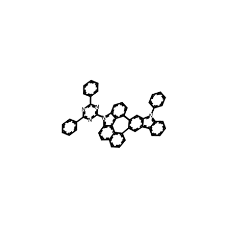 c1ccc(-c2nc(-c3ccccc3)nc(-n3c4cccc5c4c4c6c(cccc6ccc43)-c3cc4c6ccccc6n(-c6ccccc6)c4cc3-5)n2)cc1